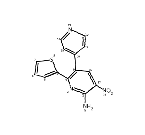 Nc1nc(-c2cccs2)c(-c2ccncc2)cc1[N+](=O)[O-]